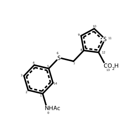 CC(=O)Nc1cccc(SCc2ccsc2C(=O)O)c1